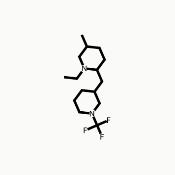 CCN1CC(C)CCC1CC1CCCN(C(F)(F)F)C1